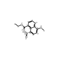 CCOC(=O)c1ccnc2c(OC)ccc([N+](=O)[O-])c12